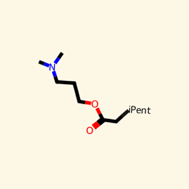 CCCC(C)CC(=O)OCCCN(C)C